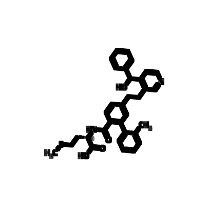 CSCC[C@H](NC(=O)c1ccc(CCc2cnccc2C(O)c2ccccc2)cc1-c1ccccc1C)C(=O)O